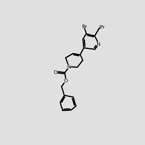 CC(C)c1ncc(C2=CCN(C(=O)OCc3ccccc3)CC2)cc1Br